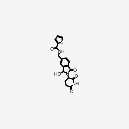 O=C1CCC(N2C(=O)c3ccc(CNC(=O)c4cccs4)cc3C2O)C(=O)N1